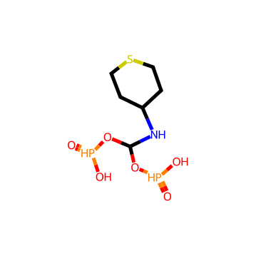 O=[PH](O)OC(NC1CCSCC1)O[PH](=O)O